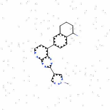 Cl.Cn1cc(-c2nc3c(-c4ccc5c(c4)CCCC5N)ccnc3[nH]2)cn1